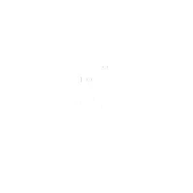 O=C(O)C1CCC2CCCC21C(=O)O